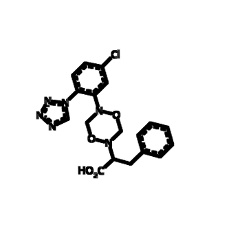 O=C(O)C(Cc1ccccc1)N1CON(c2cc(Cl)ccc2-n2cnnn2)CO1